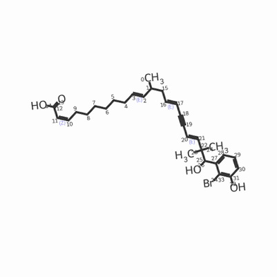 CC(/C=C/CCCCCC/C=C\C(=O)O)C/C=C/C#C/C=C/C(C)(C)C(O)c1cccc(O)c1Br